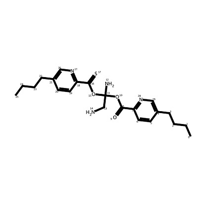 CCCCc1ccc(C(=O)OC(N)(CN)OC(=S)c2ccc(CCCC)cn2)nc1